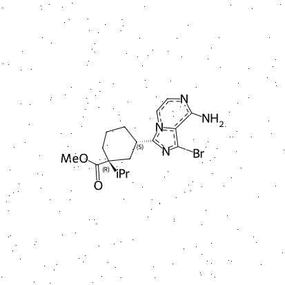 COC(=O)[C@]1(C(C)C)CCC[C@H](c2nc(Br)c3c(N)nccn23)C1